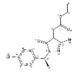 CCOC(=O)CC1C(=O)N([C@@H](C)c2ccc(Cl)cc2)N=C1Br